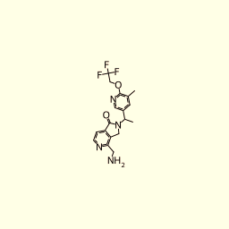 Cc1cc(C(C)N2Cc3c(ccnc3CN)C2=O)cnc1OCC(F)(F)F